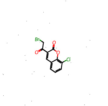 O=C(CBr)c1cc2cccc(Cl)c2oc1=O